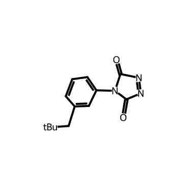 CC(C)(C)Cc1cccc(N2C(=O)N=NC2=O)c1